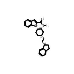 CCN(C(=O)c1cc2ccccc2[nH]1)[C@H]1CCC[C@@H](CC[C@@H]2CCc3ccccc32)C1